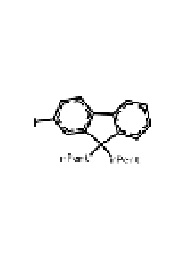 CCCCCC1(CCCCC)c2ccccc2-c2ccc(I)cc21